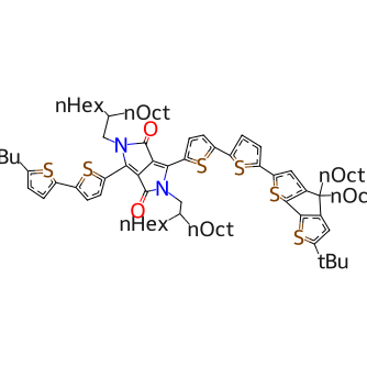 CCCCCCCCC(CCCCCC)CN1C(=O)C2=C(c3ccc(-c4ccc(C(C)(C)C)s4)s3)N(CC(CCCCCC)CCCCCCCC)C(=O)C2=C1c1ccc(-c2ccc(-c3cc4c(s3)-c3sc(C(C)(C)C)cc3C4(CCCCCCCC)CCCCCCCC)s2)s1